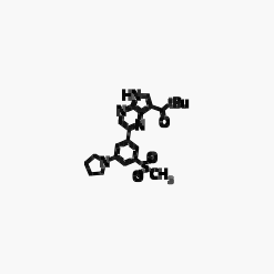 CC(C)(C)C(=O)c1c[nH]c2ncc(-c3cc(N4CCCC4)cc(S(C)(=O)=O)c3)nc12